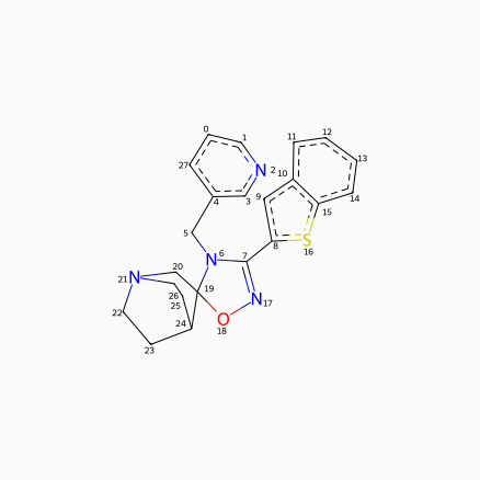 c1cncc(CN2C(c3cc4ccccc4s3)=NOC23CN2CCC3CC2)c1